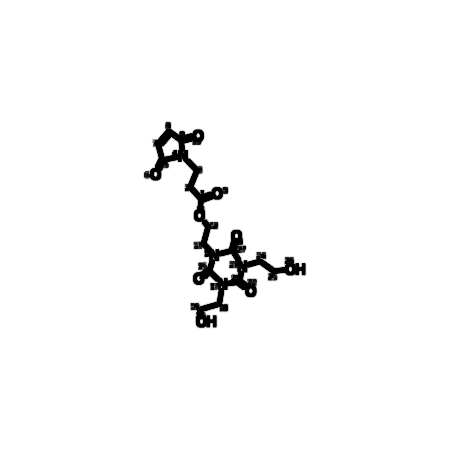 O=C(CCN1C(=O)C=CC1=O)OCCn1c(=O)n(CCO)c(=O)n(CCO)c1=O